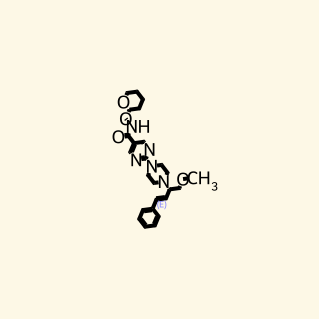 COCC(/C=C/c1ccccc1)N1CCN(c2ncc(C(=O)NOC3CCCCO3)cn2)CC1